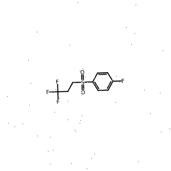 O=S(=O)(CCC(F)(F)F)c1ccc(F)cc1